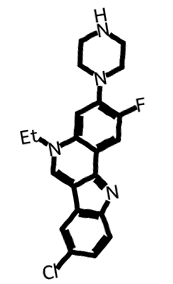 CCn1cc2c3cc(Cl)ccc3nc-2c2cc(F)c(N3CCNCC3)cc21